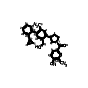 Cc1cc(C2CCN(C(=O)c3ccc(O)c(C)n3)C2)c(CO)cc1-c1ccccc1C1CC1